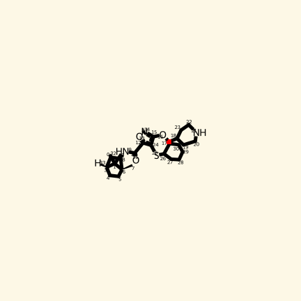 CC1(C)[C@@H]2CC[C@@]1(C)[C@H](NC(=O)c1onc(OCC3CCNCC3)c1SC1CCCCC1)C2